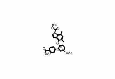 COC(=O)c1ccc([C@@H]2C[C@H](OC)CC[C@@H]2Oc2c(C)cc(C)c3c2ccn3C(=O)OC(C)(C)C)cc1